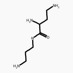 NCCC[N]C(=O)C(N)CCN